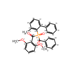 COc1cccc(OC)c1C(=O)P(=O)(C(=O)c1ccccc1)c1c(C)cccc1-c1ccccc1